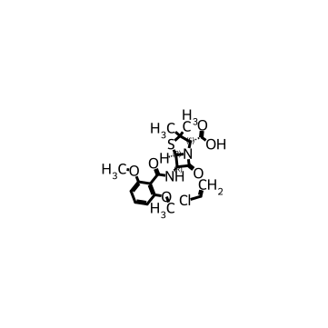 C=CCl.COc1cccc(OC)c1C(=O)N[C@@H]1C(=O)N2[C@@H]1SC(C)(C)[C@@H]2C(=O)O